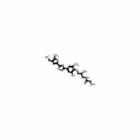 CCc1cc(-c2noc(-c3cc(CC(C)C)c(C)s3)n2)cc(C)c1OCC(O)CNC(=O)CO